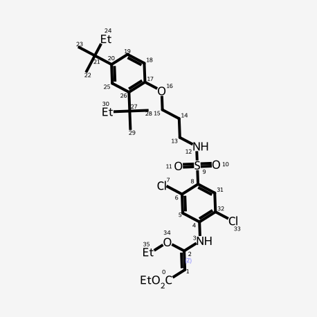 CCOC(=O)/C=C(/Nc1cc(Cl)c(S(=O)(=O)NCCCOc2ccc(C(C)(C)CC)cc2C(C)(C)CC)cc1Cl)OCC